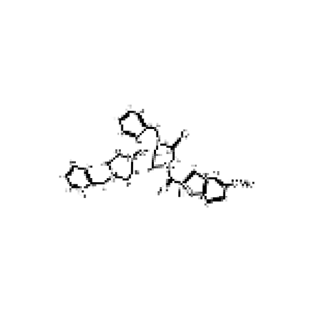 COc1ccc2[nH]c(C(=O)N3CC(=O)N(Cc4ccccc4)[C@@H](CN4CCN(Cc5ccccn5)CC4)C3)cc2c1